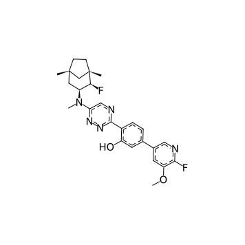 COc1cc(-c2ccc(-c3ncc(N(C)[C@H]4C[C@]5(C)CC[C@@](C)(C5)[C@H]4F)nn3)c(O)c2)cnc1F